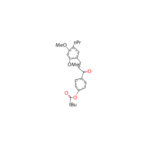 CCCc1cc(C=CC(=O)c2ccc(OC(=O)C(C)(C)C)cc2)c(OC)cc1OC